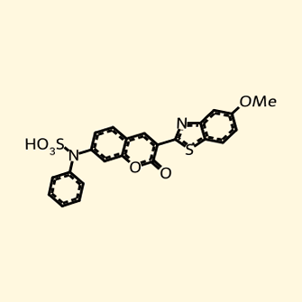 COc1ccc2sc(-c3cc4ccc(N(c5ccccc5)S(=O)(=O)O)cc4oc3=O)nc2c1